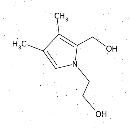 Cc1cn(CCO)c(CO)c1C